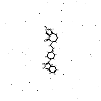 Cn1cc2c(n1)CCCN(CCN1CCN(c3nsc4ccccc34)CC1)C2=O